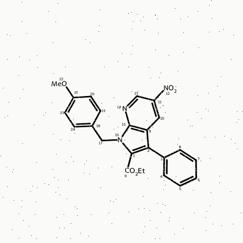 CCOC(=O)c1c(-c2ccccc2)c2cc([N+](=O)[O-])cnc2n1Cc1ccc(OC)cc1